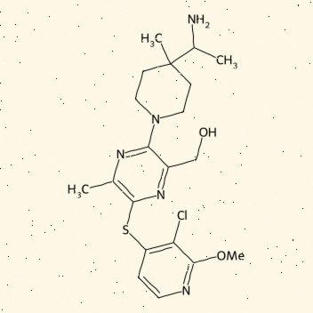 COc1nccc(Sc2nc(CO)c(N3CCC(C)(C(C)N)CC3)nc2C)c1Cl